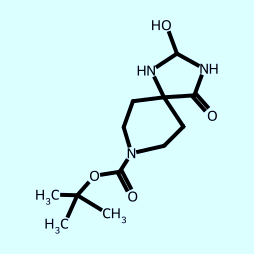 CC(C)(C)OC(=O)N1CCC2(CC1)NC(O)NC2=O